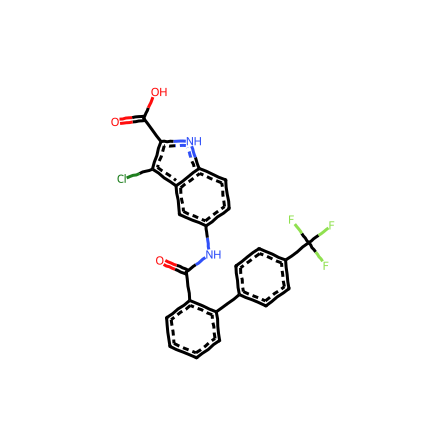 O=C(Nc1ccc2[nH]c(C(=O)O)c(Cl)c2c1)c1ccccc1-c1ccc(C(F)(F)F)cc1